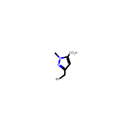 CC(C)Cc1cc(C(=O)O)n(C)n1